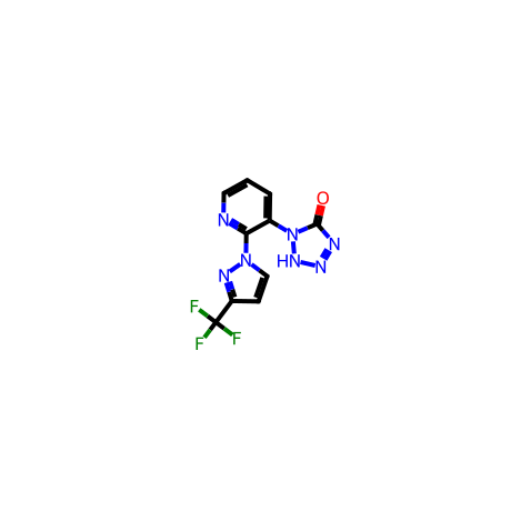 O=c1nn[nH]n1-c1cccnc1-n1ccc(C(F)(F)F)n1